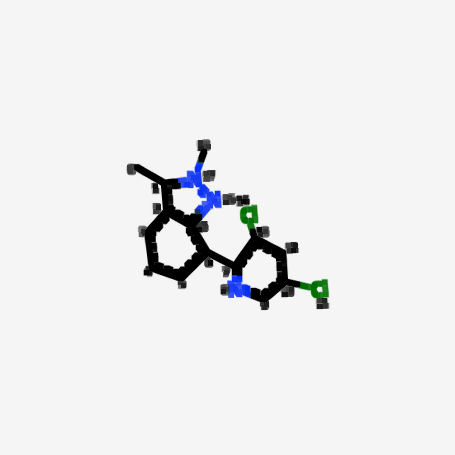 Cc1c2cccc(-c3ncc(Cl)cc3Cl)c2nn1C